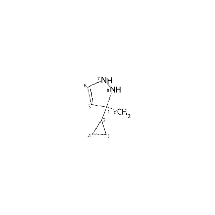 CC1(C2CC2)C=CNN1